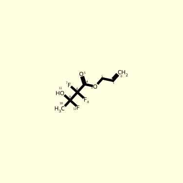 C=CCOC(=O)C(F)(F)C(C)(O)F